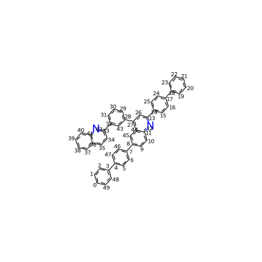 c1ccc(-c2ccc(-c3ccc4nc(-c5ccc(-c6ccccc6)cc5)cc(-c5cccc(-c6ccc7ccccc7n6)c5)c4c3)cc2)cc1